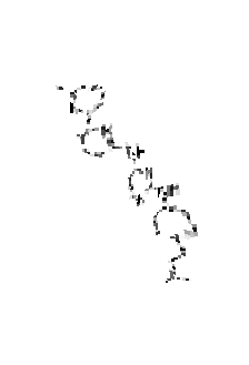 Cc1cccc(-c2nccc(Nc3ccnc(Nc4ccc(CCN(C)C)cc4)n3)n2)n1